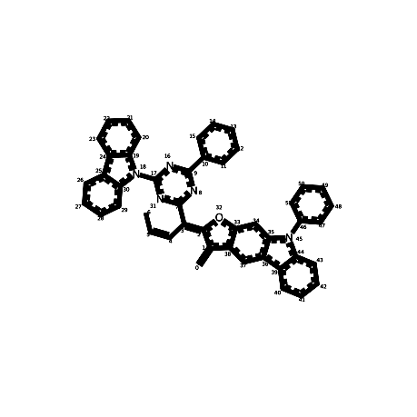 C=c1/c(=C(\C=C/C)c2nc(-c3ccccc3)nc(-n3c4ccccc4c4ccccc43)n2)oc2cc3c(cc12)c1ccccc1n3-c1ccccc1